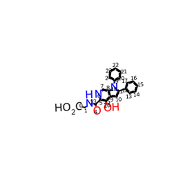 O=C(O)CNC(=O)c1ncc2c(cc(-c3ccccc3)n2-c2ccccc2)c1O